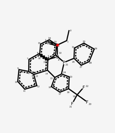 CCC(=O)Oc1ccc2ccccc2c1-c1ccc(C(F)(F)F)cc1P(c1ccccc1)c1ccccc1